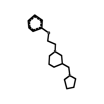 c1ccc(OCCN2CCCC(CN3CCCC3)C2)cc1